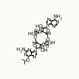 CC(C)Oc1nc(N)nc2c1ncn2[C@@H]1O[C@@H]2COP(=O)(O)O[C@H]3[C@@H](O)[C@H](n4cnc5c(N)ncnc54)O[C@@H]3COP(=O)(O)O[C@H]2[C@H]1O